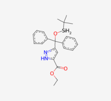 CCOC(=O)c1cc(C(O[SiH2]C(C)(C)C)(c2ccccc2)c2ccccc2)n[nH]1